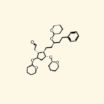 O=CC[C@H]1C(OC2CCCCO2)C[C@@H](OC2CCCCO2)[C@@H]1CC[C@H](CCc1ccccc1)OC1CCCCO1